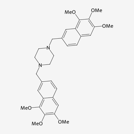 COc1cc2ccc(CN3CCN(Cc4ccc5cc(OC)c(OC)c(OC)c5c4)CC3)cc2c(OC)c1OC